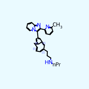 CCCNCCCC1=C/C=C/C=c2\ccc(-c3c(-c4cccc(C)n4)nc4ccccn34)c\c2=C\1